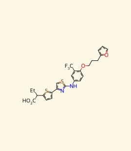 CCC(C(=O)O)c1ccc(-c2csc(Nc3ccc(OCCCc4ccco4)c(C(F)(F)F)c3)n2)s1